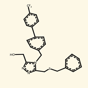 OCc1nnc(CSCc2ccccc2)n1Cc1ccc(-c2ccc(C(F)(F)F)cc2)cc1